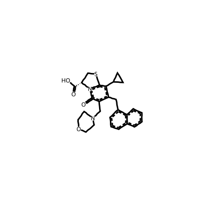 O=C(O)[C@@H]1CSc2c(C3CC3)c(Cc3cccc4ccccc34)c(CN3CCOCC3)c(=O)n21